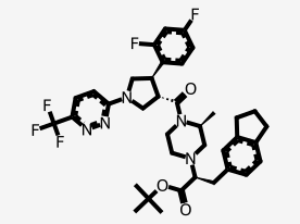 C[C@H]1CN([C@@H](Cc2ccc3c(c2)CCC3)C(=O)OC(C)(C)C)CCN1C(=O)[C@@H]1CN(c2ccc(C(F)(F)F)nn2)C[C@H]1c1ccc(F)cc1F